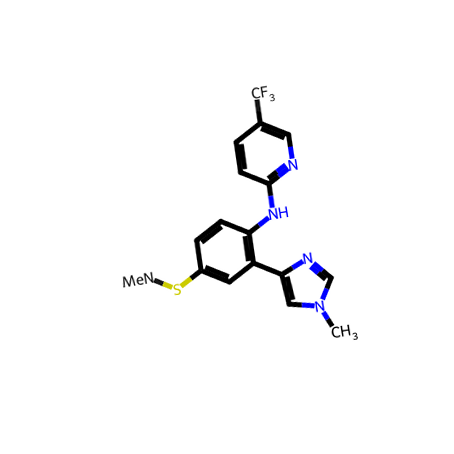 CNSc1ccc(Nc2ccc(C(F)(F)F)cn2)c(-c2cn(C)cn2)c1